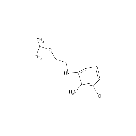 CC(C)OCCNc1cccc(Cl)c1N